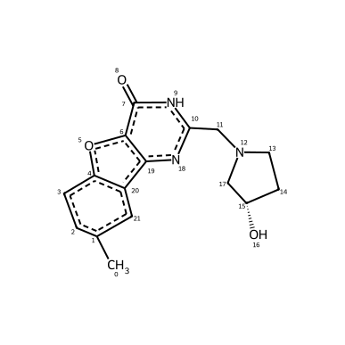 Cc1ccc2oc3c(=O)[nH]c(CN4CC[C@H](O)C4)nc3c2c1